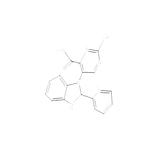 NC(=O)c1nc(O)ncc1N1c2ccccc2NC1c1ccccn1